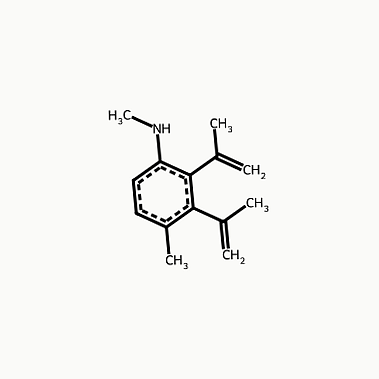 C=C(C)c1c(C)ccc(NC)c1C(=C)C